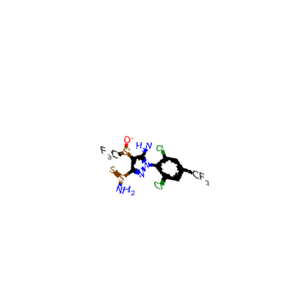 Nc1c([S+]([O-])C(F)(F)F)c(S(N)=S)nn1-c1c(Cl)cc(C(F)(F)F)cc1Cl